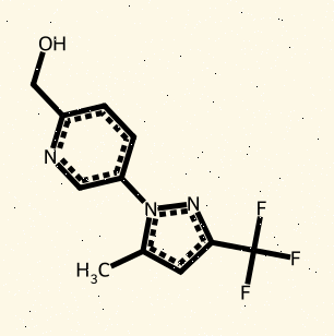 Cc1cc(C(F)(F)F)nn1-c1ccc(CO)nc1